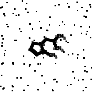 CC(C)CN1CC=CN1C